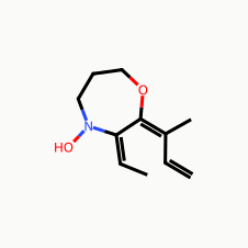 C=C/C(C)=C1/OCCCN(O)/C1=C/C